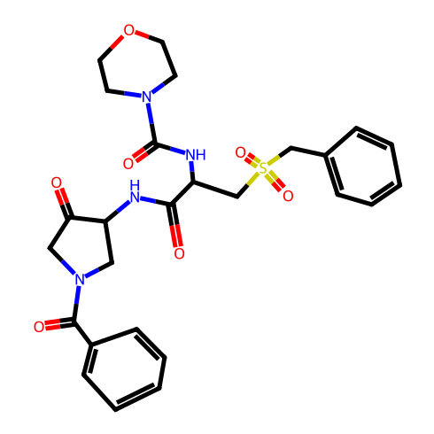 O=C1CN(C(=O)c2ccccc2)CC1NC(=O)C(CS(=O)(=O)Cc1ccccc1)NC(=O)N1CCOCC1